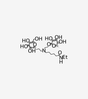 CCNC(=O)CCCCCN(CCC[C@H]1O[C@H](CO)[C@@H](O)[C@H](O)[C@H]1O)CCO[C@@H]1O[C@@H](C)[C@@H](O)[C@@H](O)[C@@H]1O